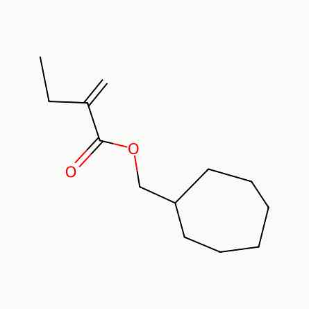 C=C(CC)C(=O)OCC1CCCCCC1